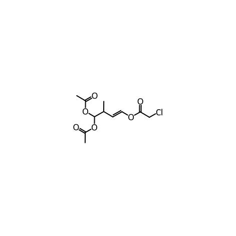 CC(=O)OC(OC(C)=O)C(C)C=COC(=O)CCl